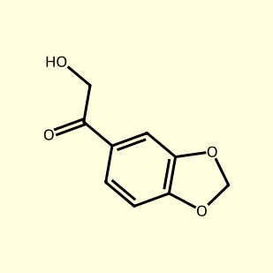 O=C(CO)c1ccc2c(c1)OCO2